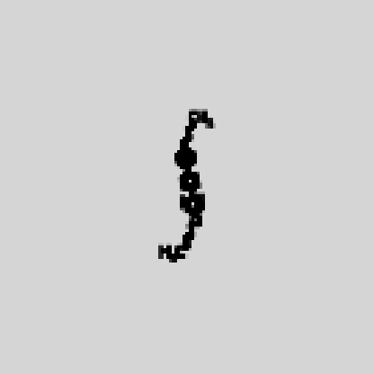 CCC=CCOc1cnc(-c2ccc(C34CCC(CCCCC)(CC3)CC4)cc2)nc1